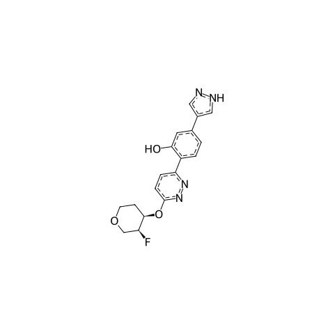 Oc1cc(-c2cn[nH]c2)ccc1-c1ccc(O[C@@H]2CCOC[C@@H]2F)nn1